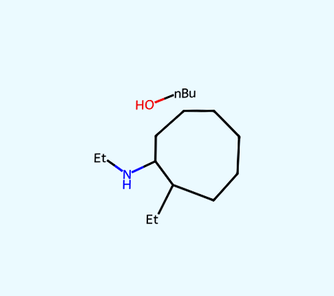 CCCCO.CCNC1CCCCCCC1CC